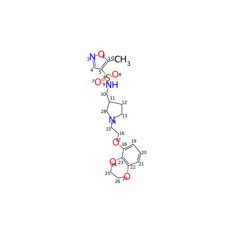 Cc1oncc1S(=O)(=O)NCC1CCN(CCOc2cccc3c2OCCO3)C1